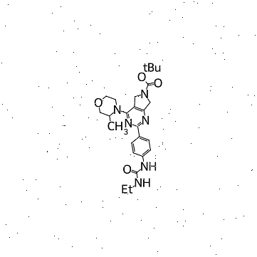 CCNC(=O)Nc1ccc(-c2nc3c(c(N4CCOCC4C)n2)CN(C(=O)OC(C)(C)C)C3)cc1